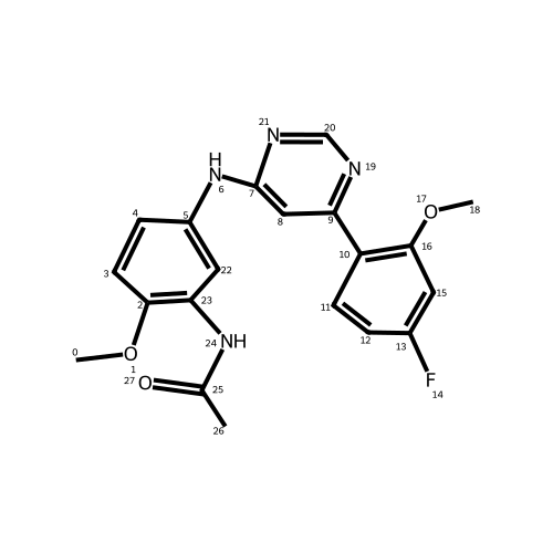 COc1ccc(Nc2cc(-c3ccc(F)cc3OC)ncn2)cc1NC(C)=O